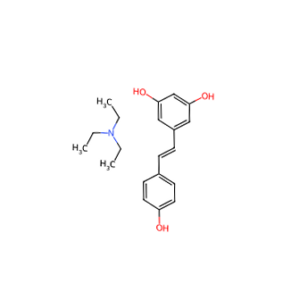 CCN(CC)CC.Oc1ccc(C=Cc2cc(O)cc(O)c2)cc1